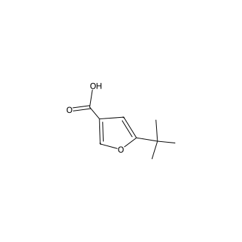 CC(C)(C)c1cc(C(=O)O)co1